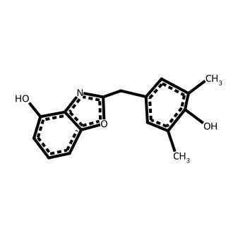 Cc1cc(Cc2nc3c(O)cccc3o2)cc(C)c1O